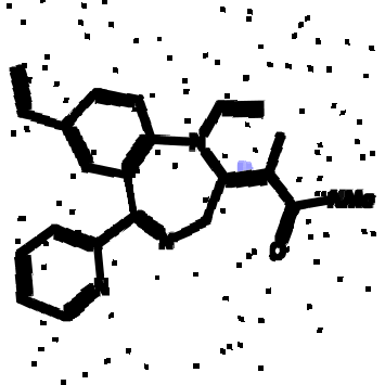 C=Cc1ccc2c(c1)C(c1ccccn1)=NC/C(=C(/C)C(=O)NC)N2C=C